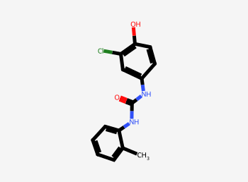 Cc1ccccc1NC(=O)Nc1ccc(O)c(Cl)c1